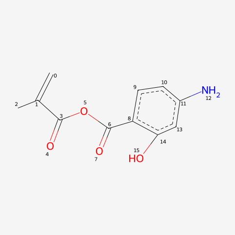 C=C(C)C(=O)OC(=O)c1ccc(N)cc1O